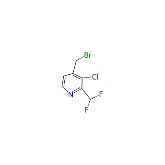 FC(F)c1nccc(CBr)c1Cl